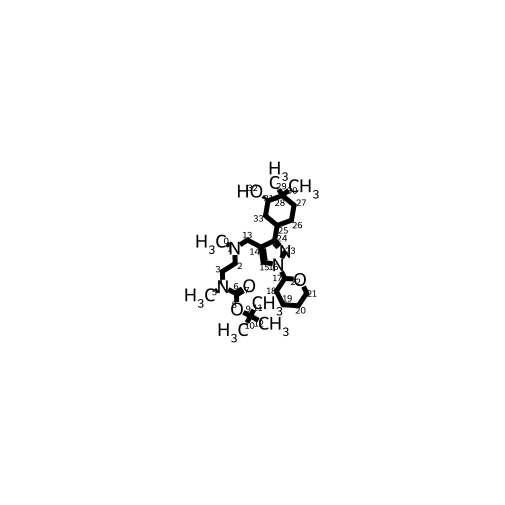 CN(CCN(C)C(=O)OC(C)(C)C)Cc1cn(C2CCCCO2)nc1C1CCC(C)(C)[C@H](O)C1